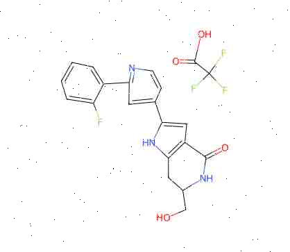 O=C(O)C(F)(F)F.O=C1NC(CO)Cc2[nH]c(-c3ccnc(-c4ccccc4F)c3)cc21